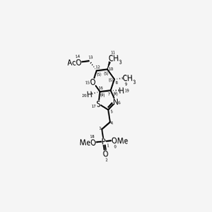 COP(=O)(CCC1=N[C@@H]2[C@@H](C)[C@H](C)[C@@H](COC(C)=O)O[C@@H]2S1)OC